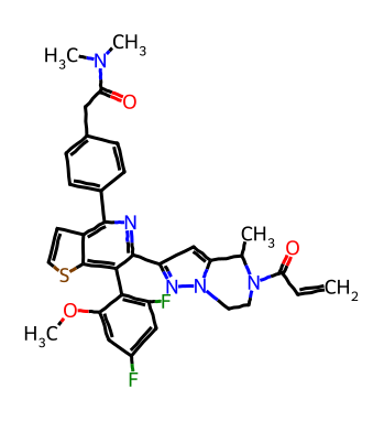 C=CC(=O)N1CCn2nc(-c3nc(-c4ccc(CC(=O)N(C)C)cc4)c4ccsc4c3-c3c(F)cc(F)cc3OC)cc2C1C